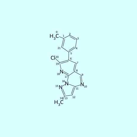 Cc1cccc(-c2cc3cnc4cc(C)nn4c3nc2Cl)c1